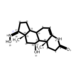 C[C@]12CCC(=O)NC1=CCC1C2[C@@H](O)C[C@]2(C)/C(=N\O)CCC12